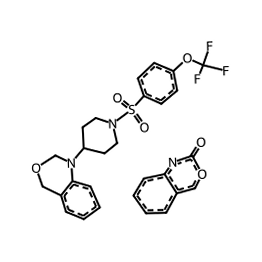 O=S(=O)(c1ccc(OC(F)(F)F)cc1)N1CCC(N2COCc3ccccc32)CC1.O=c1nc2ccccc2co1